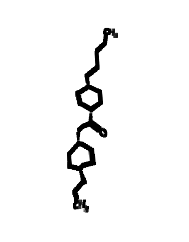 CCCCC[C@H]1CC[C@H](C(=O)C[C@H]2CC[C@H](CCC)CC2)CC1